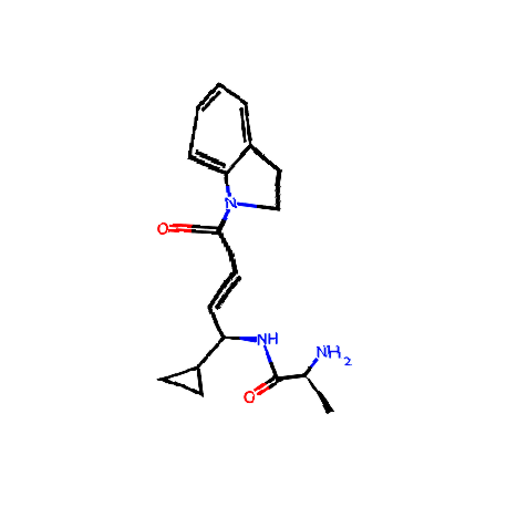 C[C@H](N)C(=O)N[C@H](/C=C/C(=O)N1CCc2ccccc21)C1CC1